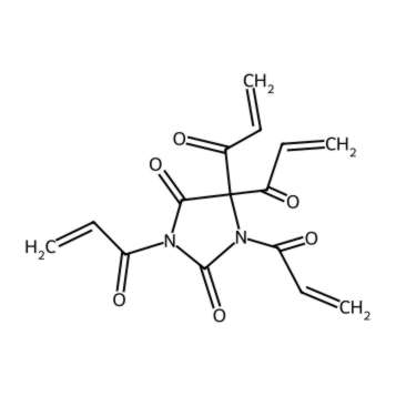 C=CC(=O)N1C(=O)N(C(=O)C=C)C(C(=O)C=C)(C(=O)C=C)C1=O